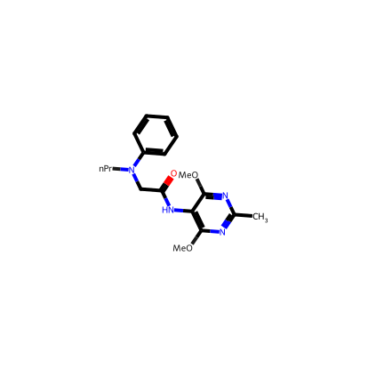 CCCN(CC(=O)Nc1c(OC)nc(C)nc1OC)c1ccccc1